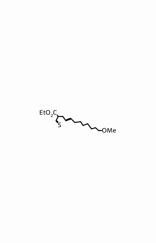 CCOC(=O)C(C=S)CC=CCCCCCCCOC